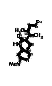 CNc1cc2[nH]c(=O)c(C(C)/C(C)=C\CF)cc2cn1